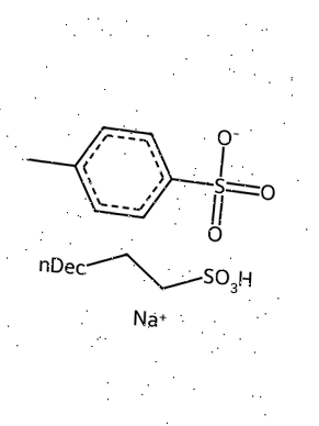 CCCCCCCCCCCCS(=O)(=O)O.Cc1ccc(S(=O)(=O)[O-])cc1.[Na+]